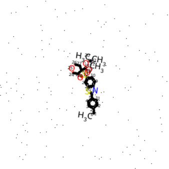 CCc1ccc(-c2nc3ccc(S(=O)(=O)C4(C(=O)OC(C)(C)C)CCOCC4)cc3s2)cc1